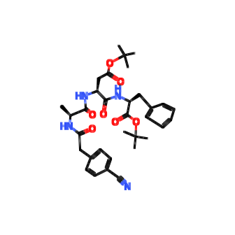 C[C@H](NC(=O)Cc1ccc(C#N)cc1)C(=O)N[C@@H](CC(=O)OC(C)(C)C)C(=O)N[C@@H](Cc1ccccc1)C(=O)OC(C)(C)C